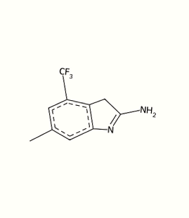 Cc1cc2c(c(C(F)(F)F)c1)CC(N)=N2